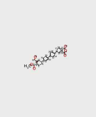 COC(=O)C1C2CC(c3ccc(-c4ccc(C5CC6CC5C5C(=O)OC(=O)C65)cc4)cc3)C(C2)C1C=O